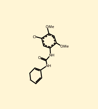 COc1cc(OC)c(NC(=O)NC2=CC[CH]C=C2)cc1Cl